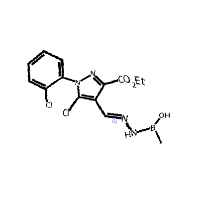 CCOC(=O)c1nn(-c2ccccc2Cl)c(Cl)c1/C=N/NB(C)O